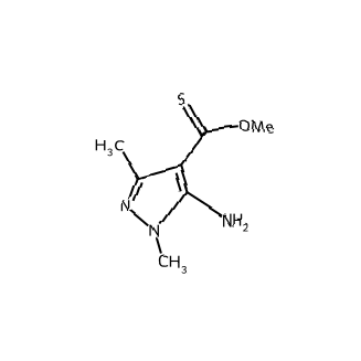 COC(=S)c1c(C)nn(C)c1N